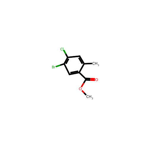 COC(=O)c1cc(Br)c(Cl)cc1C